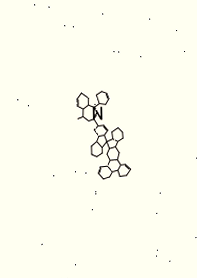 CC1CC(C2C=CC3C(C2)C2CCCCC2C32C3CCCCC3C3CC4C5C=CCCC5C5CCC=CC5C4CC32)=NC(C2CC=CCC2)C2CCC=CC12